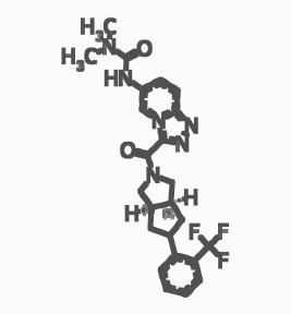 CN(C)C(=O)Nc1ccc2nnc(C(=O)N3C[C@H]4CC(c5ccccc5C(F)(F)F)C[C@H]4C3)n2c1